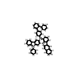 c1ccc(-c2ccccc2-c2ccc(N(c3ccc4c(c3)c3ccccc3n4-c3ccccc3)c3cccc4c3sc3cc5ccccc5cc34)cc2)cc1